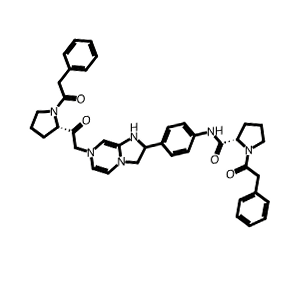 O=C(CN1C=CN2CC(c3ccc(NC(=O)[C@@H]4CCCN4C(=O)Cc4ccccc4)cc3)NC2=C1)[C@@H]1CCCN1C(=O)Cc1ccccc1